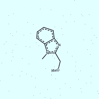 COCc1nc2ccccc2n1C